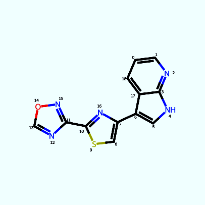 c1cnc2[nH]cc(-c3csc(-c4ncon4)n3)c2c1